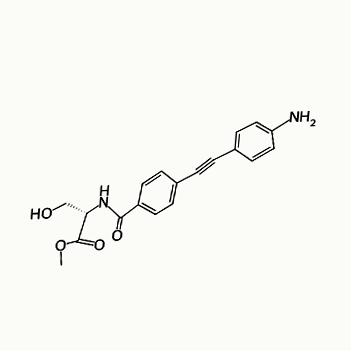 COC(=O)[C@H](CO)NC(=O)c1ccc(C#Cc2ccc(N)cc2)cc1